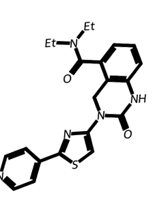 CCN(CC)C(=O)c1cccc2c1CN(c1csc(-c3ccncc3)n1)C(=O)N2